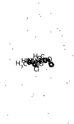 Cc1cc(-c2cc(Cl)nc3c2NCC3C(=O)C(=O)N2CCN(C(=O)c3ccccc3)C[C@H]2C)n[nH]1